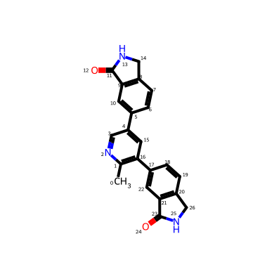 Cc1ncc(-c2ccc3c(c2)C(=O)NC3)cc1-c1ccc2c(c1)C(=O)NC2